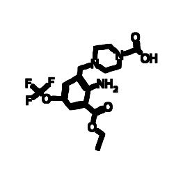 CCOC(=O)c1cc(OC(F)(F)F)cc(CN2CCN(C(=O)O)CC2)c1N